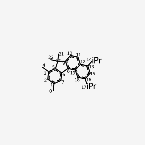 Cc1cc(C)c2c(c1)-c1c(ccc3c(C(C)C)cc(C(C)C)cc13)C2(C)C